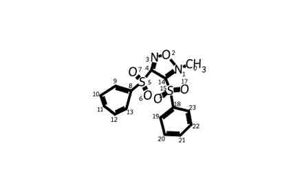 C[n+]1onc(S(=O)(=O)c2ccccc2)c1S(=O)(=O)c1ccccc1